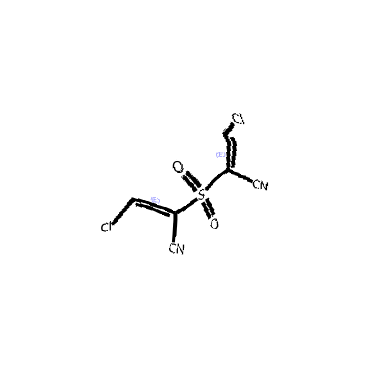 N#C/C(=C\Cl)S(=O)(=O)/C(C#N)=C/Cl